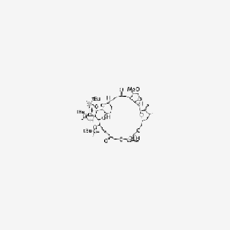 C=C1C(C)CC2CC[C@@H]3OC(CCC(=O)/C=C/C(O[Si](C)(C)C(C)(C)C)C4O[C@H]5CC[C@H](CC(=O)CC6[C@@H](OC)CO[C@H]6CC1O2)OC5[C@H](O[Si](C)(C)C(C)(C)C)[C@@H]4O[Si](C)(C)C(C)(C)C)CC3=C